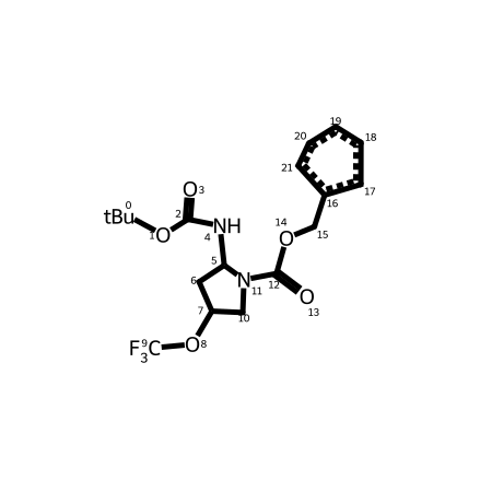 CC(C)(C)OC(=O)NC1CC(OC(F)(F)F)CN1C(=O)OCc1ccccc1